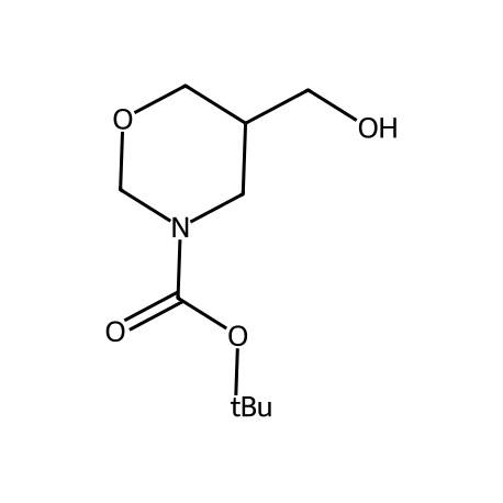 CC(C)(C)OC(=O)N1COCC(CO)C1